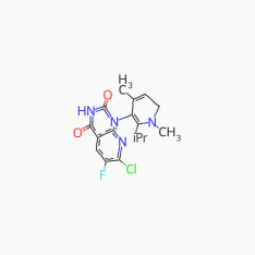 CC1=CCN(C)C(C(C)C)=C1n1c(=O)[nH]c(=O)c2cc(F)c(Cl)nc21